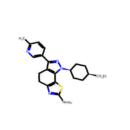 CCOC(=O)[C@H]1CC[C@@H](n2nc(-c3ccc(C)nc3)c3c2-c2sc(NC(C)=O)nc2CC3)CC1